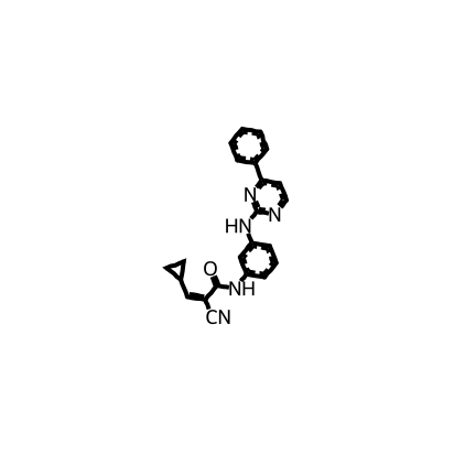 N#C/C(=C/C1CC1)C(=O)Nc1cccc(Nc2nccc(-c3ccccc3)n2)c1